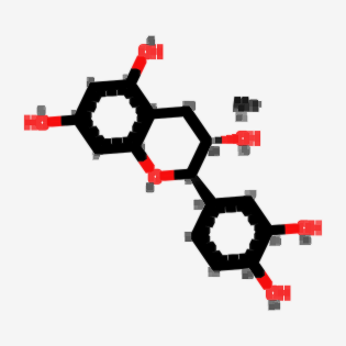 Oc1cc(O)c2c(c1)O[C@H](c1ccc(O)c(O)c1)[C@@H](O)C2.[Mn]